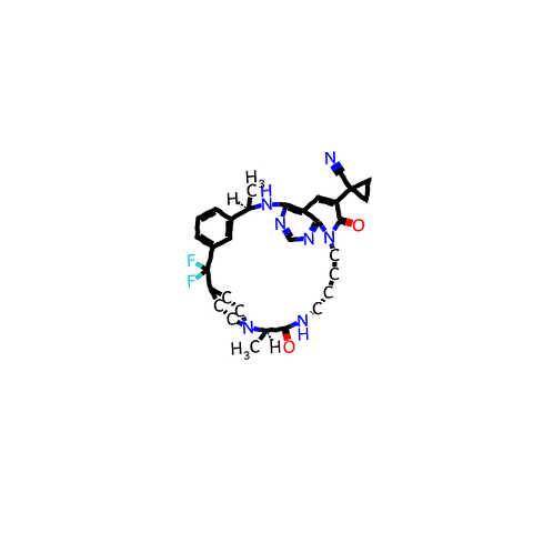 C[C@@H]1C(=O)NCCCCn2c(=O)c(C3(C#N)CC3)cc3c(ncnc32)N[C@H](C)c2cccc(c2)C(F)(F)C2CCN1CC2